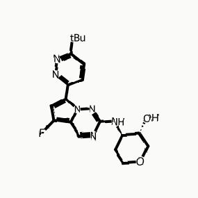 CC(C)(C)c1ccc(-c2cc(F)c3cnc(N[C@@H]4CCOC[C@H]4O)nn23)nn1